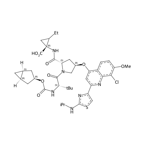 CCC1C[C@]1(NC(=O)[C@@H]1C[C@@H](Oc2cc(-c3csc(NC(C)C)n3)nc3c(Cl)c(OC)ccc23)CN1C(=O)[C@@H](NC(=O)O[C@@H]1C[C@@H]2C[C@@H]2C1)C(C)(C)C)C(=O)O